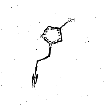 N#CCCn1cc(O)cn1